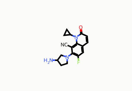 N#Cc1c(N2CCC(N)C2)c(F)cc2ccc(=O)n(C3CC3)c12